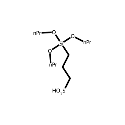 CCCO[Si](CCCS(=O)(=O)O)(OCCC)OCCC